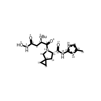 CCCC[C@H](CC(=O)NO)C(=O)N1CC2(CC2)C[C@H]1C(=O)Nc1ncc(C)s1